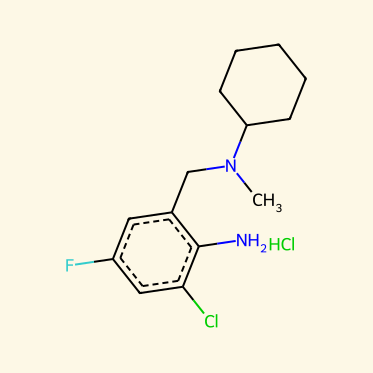 CN(Cc1cc(F)cc(Cl)c1N)C1CCCCC1.Cl